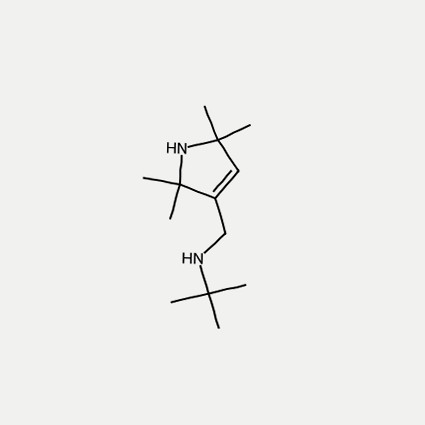 CC(C)(C)NCC1=CC(C)(C)NC1(C)C